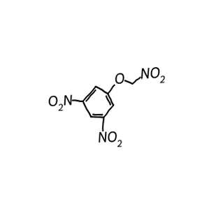 O=[N+]([O-])COc1cc([N+](=O)[O-])cc([N+](=O)[O-])c1